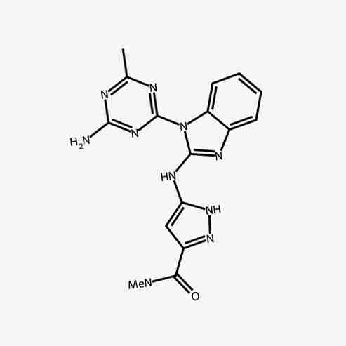 CNC(=O)c1cc(Nc2nc3ccccc3n2-c2nc(C)nc(N)n2)[nH]n1